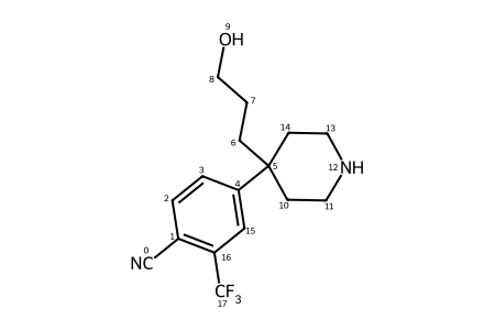 N#Cc1ccc(C2(CCCO)CCNCC2)cc1C(F)(F)F